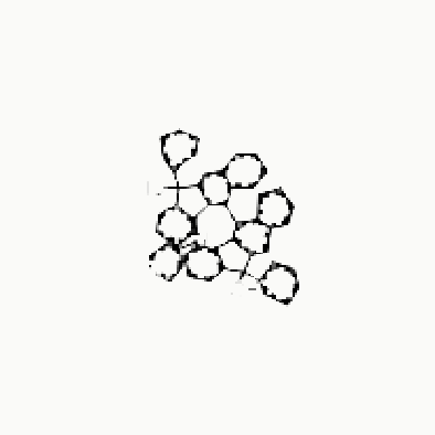 OC(c1ccccc1)(c1ccccc1)c1cc2ccccc2c2c1CN(c1ccncc1)Cc1c(C(O)(c3ccccc3)c3ccccc3)cc3ccccc3c1-2